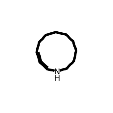 C1=CCCCCCCCCNC=1